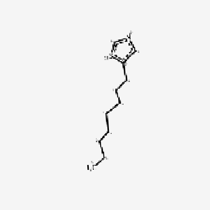 CCCCCCCCc1cncs1